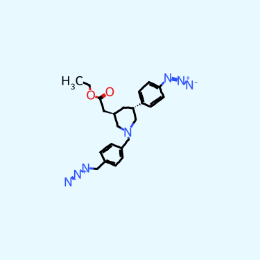 CCOC(=O)C[C@H]1C[C@H](c2ccc(N=[N+]=[N-])cc2)CN(Cc2ccc(CN=[N+]=[N-])cc2)C1